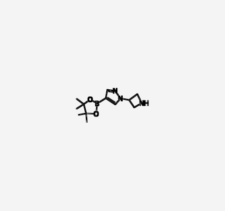 CC1(C)OB(c2cnn(C3CNC3)c2)OC1(C)C